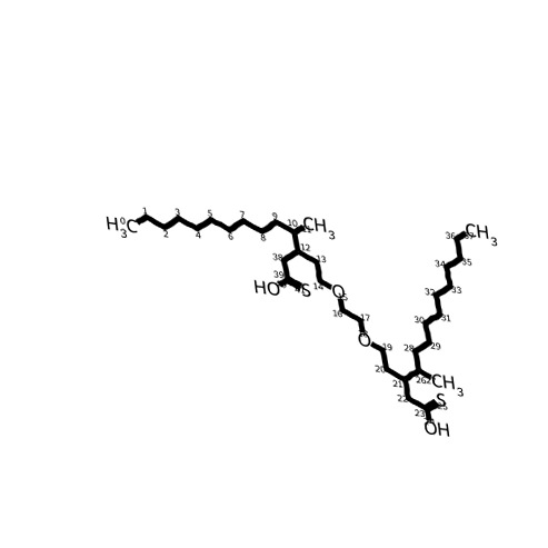 CCCCCCCCCCC(C)C(CCOCCOCCC(CC(O)=S)C(C)CCCCCCCCCC)CC(O)=S